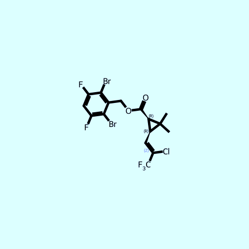 CC1(C)[C@H](C(=O)OCc2c(Br)c(F)cc(F)c2Br)[C@@H]1/C=C(\Cl)C(F)(F)F